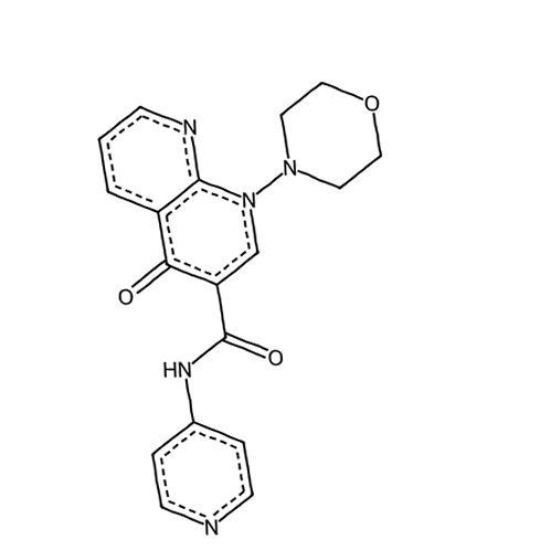 O=C(Nc1ccncc1)c1cn(N2CCOCC2)c2ncccc2c1=O